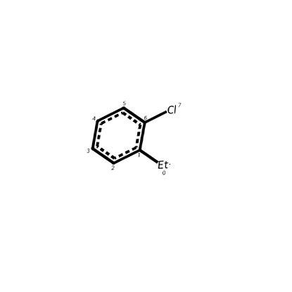 C[CH]c1ccccc1Cl